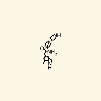 Cc1cc(CC(N)C(=O)N2CCN(C3CCNCC3)CC2)cc2cc[nH]c12